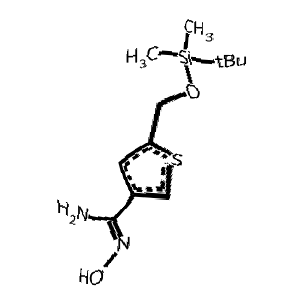 CC(C)(C)[Si](C)(C)OCc1cc(C(N)=NO)cs1